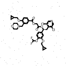 O=C(COC(=O)c1ccc(OCC2CC2)c(CN2CCOCC2)c1)O[C@@H](Cc1c(Cl)cncc1Cl)c1ccc(OC(F)F)c(OCC2CC2)c1